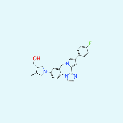 C[C@@H]1CN(c2ccc3c(c2)Cn2cc(-c4ccc(F)cc4)cc2-c2nccn2-3)C[C@H]1CO